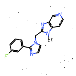 CCn1c(Cn2ccnc2-c2cccc(F)c2)nc2cnccc21